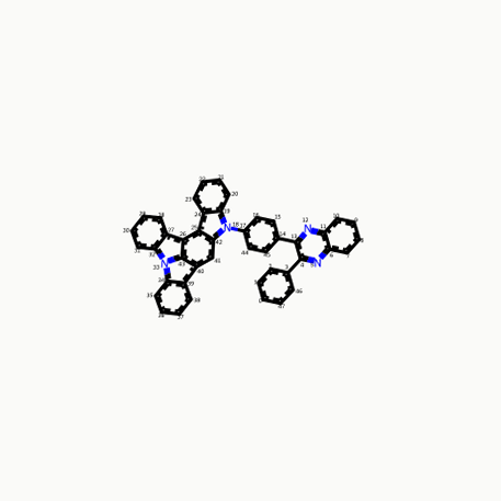 c1ccc(-c2nc3ccccc3nc2-c2ccc(-n3c4ccccc4c4c5c6ccccc6n6c7ccccc7c(cc43)c56)cc2)cc1